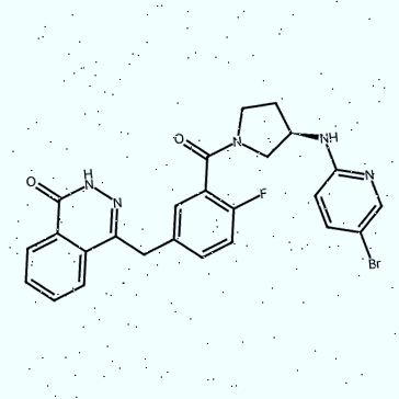 O=C(c1cc(Cc2n[nH]c(=O)c3ccccc23)ccc1F)N1CC[C@@H](Nc2ccc(Br)cn2)C1